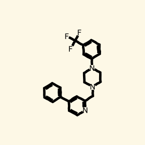 FC(F)(F)c1cccc(N2CCN(Cc3cc(-c4ccccc4)ccn3)CC2)c1